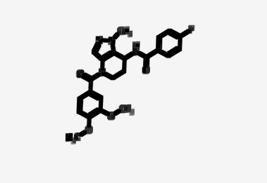 COc1ccc(C(=O)N2CCC(NC(=O)c3ccc(F)cc3)c3c2cnn3C)cc1OC